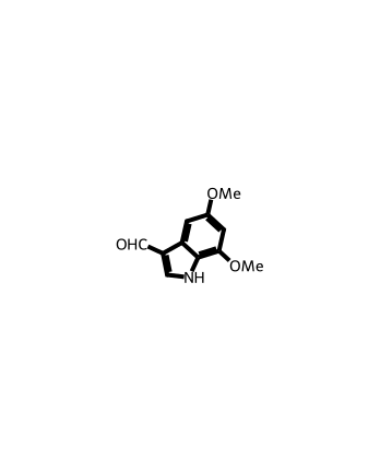 COc1cc(OC)c2[nH]cc(C=O)c2c1